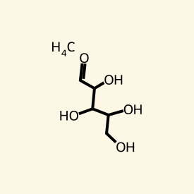 C.O=CC(O)C(O)C(O)CO